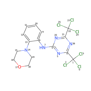 ClC(Cl)(Cl)c1nc(Nc2ccccc2N2CCOCC2)nc(C(Cl)(Cl)Cl)n1